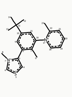 Cc1c(-c2csc[n+]2C)cc(C(C)(C)C)cc1-[n+]1ccccc1C